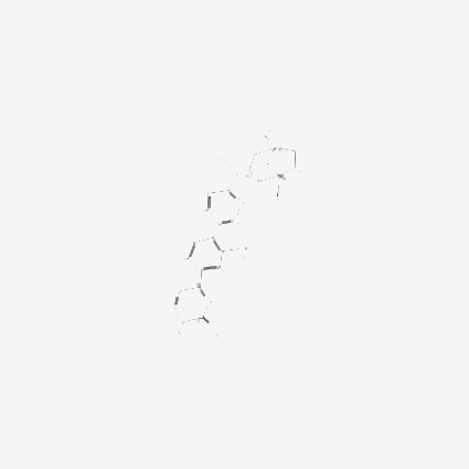 CN(c1ccc(-c2ccc(-c3ncn(C)c(=O)n3)cc2O)nn1)[C@@H]1C[C@]2(C)CC[C@](C)(C1)N2